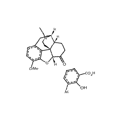 CC(=O)c1cccc(C(=O)O)c1O.COc1ccc2c3c1O[C@H]1C(=O)CC[C@H]4[C@@H](C2)N(C)CC[C@]314